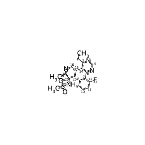 CCc1ncnc(-c2ccccc2F)c1-c1cnc(C)c(NS(C)(=O)=O)c1